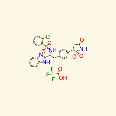 O=C(O)C(F)(F)F.O=C1CC(c2ccc(C[C@H](NS(=O)(=O)c3ccccc3Cl)c3nc4ccccc4[nH]3)cc2)S(=O)(=O)N1